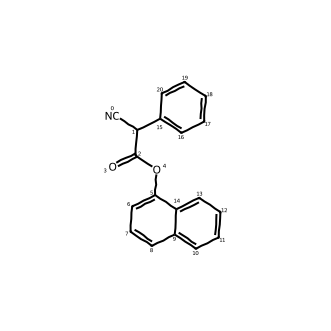 N#CC(C(=O)Oc1cccc2ccccc12)c1ccccc1